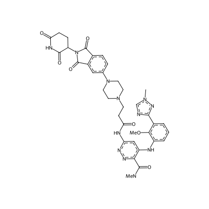 CNC(=O)c1nnc(NC(=O)CCN2CCN(c3ccc4c(c3)C(=O)N(C3CCC(=O)NC3=O)C4=O)CC2)cc1Nc1cccc(-c2ncn(C)n2)c1OC